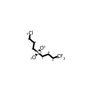 O=S(=O)(CCCCl)CCCC(F)(F)F